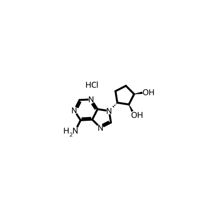 Cl.Nc1ncnc2c1ncn2[C@@H]1CC[C@@H](O)[C@H]1O